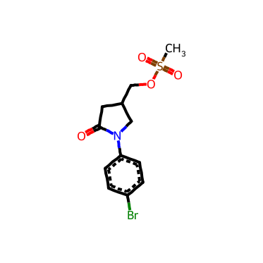 CS(=O)(=O)OCC1CC(=O)N(c2ccc(Br)cc2)C1